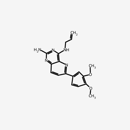 C=CCNc1nc(N)nc2ccc(-c3ccc(OC)c(OC)c3)nc12